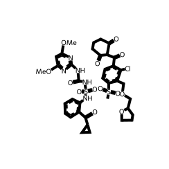 COc1cc(OC)nc(NC(=O)NS(=O)(=O)Nc2ccccc2C(=O)C2CC2)n1.CS(=O)(=O)c1ccc(C(=O)C2C(=O)CCCC2=O)c(Cl)c1COCC1CCCO1